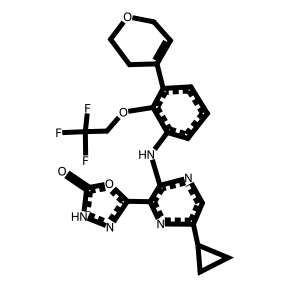 O=c1[nH]nc(-c2nc(C3CC3)cnc2Nc2cccc(C3=CCOCC3)c2OCC(F)(F)F)o1